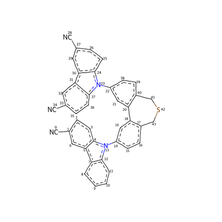 N#Cc1ccc2c(c1)c1ccccc1n2-c1ccc2c(c1)-c1cc(-n3c4ccc(C#N)cc4c4cc(C#N)ccc43)ccc1CSC2